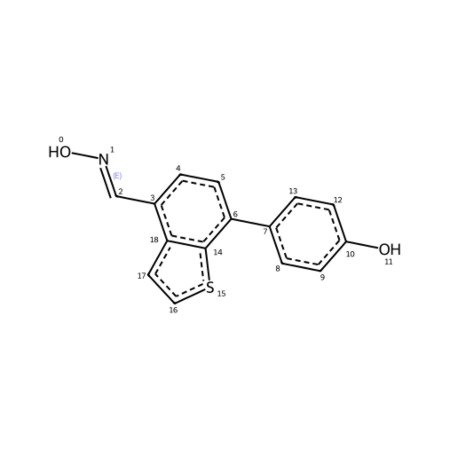 O/N=C/c1ccc(-c2ccc(O)cc2)c2sccc12